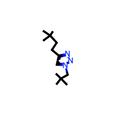 CC(C)(C)CCc1cn(CC(C)(C)C)nn1